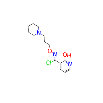 Oc1ncccc1C(Cl)=NOCCCN1CCCCC1